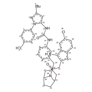 Cc1ccc(-n2nc(C(C)(C)C)cc2NC(=O)Nc2cccc(CC3CC4CCC(C3)N4C(=O)Cc3sc4ccc(Cl)cc4c3C)c2)cc1